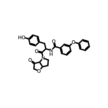 O=C(NC(Cc1ccc(O)cc1)C(=O)N1CCC2OCC(=O)C21)c1cccc(Oc2ccccc2)c1